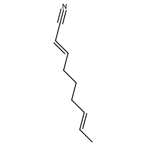 CC=CCCCC=CC#N